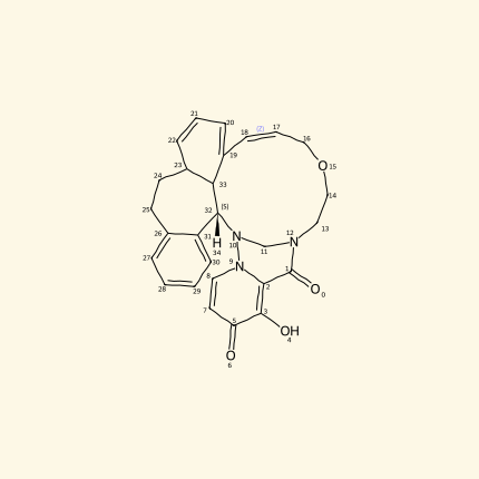 O=C1c2c(O)c(=O)ccn2N2CN1CCOC/C=C\C1=CC=CC3CCc4ccccc4[C@@H]2C13